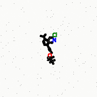 CC(C)c1ccc(C#CCO[Si](C)(C)C(C)(C)C)c2cnc(Cl)cc12